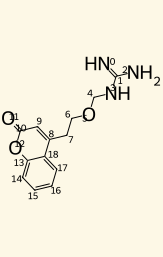 N=C(N)NCOCCc1cc(=O)oc2ccccc12